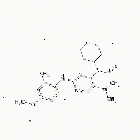 COc1cc(C)c(Nc2ncc(N(C)C)c(N(C=O)C3CCOCC3)n2)cn1